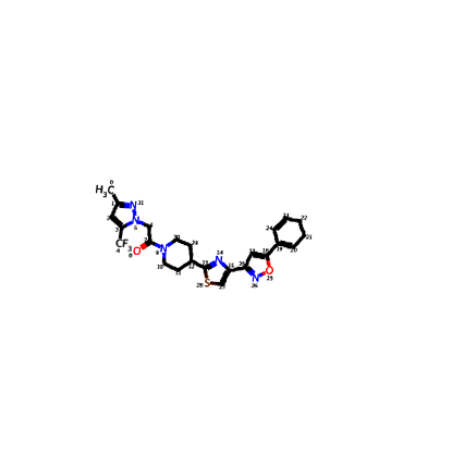 Cc1cc(C(F)(F)F)n(CC(=O)N2CCC(c3nc(-c4cc(C5=CCCC=C5)on4)cs3)CC2)n1